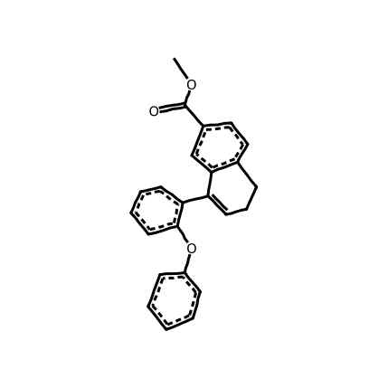 COC(=O)c1ccc2c(c1)C(c1ccccc1Oc1ccccc1)=CCC2